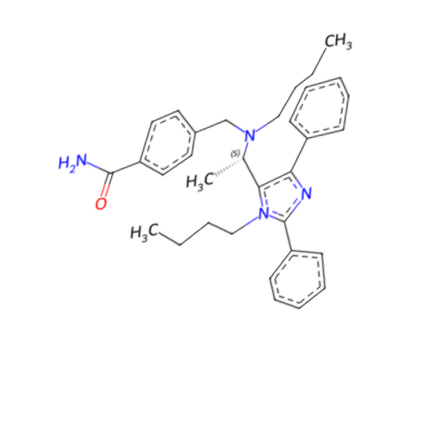 CCCCN(Cc1ccc(C(N)=O)cc1)[C@@H](C)c1c(-c2ccccc2)nc(-c2ccccc2)n1CCCC